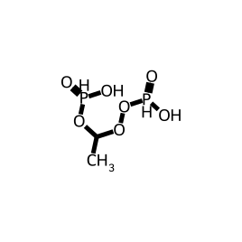 CC(OO[PH](=O)O)O[PH](=O)O